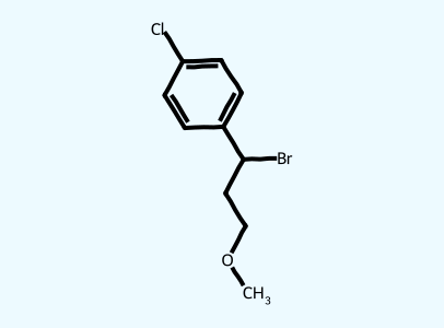 COCCC(Br)c1ccc(Cl)cc1